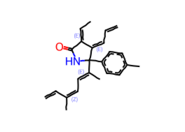 C=C/C=C1\C(=C/C)C(=O)NC1(/C(C)=C/C=C(/C)C=C)c1ccc(C)cc1